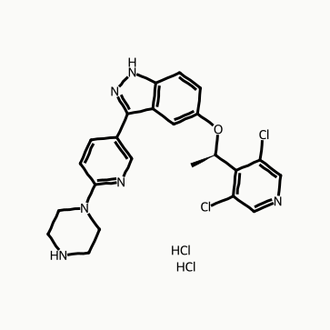 C[C@@H](Oc1ccc2[nH]nc(-c3ccc(N4CCNCC4)nc3)c2c1)c1c(Cl)cncc1Cl.Cl.Cl